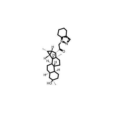 C[C@H]1[C@@H]2[C@H]1[C@H](C(=O)Cn1ncc3c1CCCC3)[C@@]1(C)CC[C@H]3[C@@H](CC[C@@H]4C[C@](C)(O)CC[C@@H]43)[C@H]21